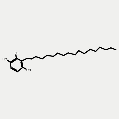 CCCCCCCCCCCCCCCCCCc1c(O)ccc(O)c1S